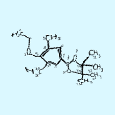 [CH2]COc1c(C)cc(B2OC(C)(C)C(C)(C)O2)cc1C